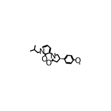 COc1ccc([C@H]2CC(=O)N(c3cccn(CC(C)C)c3=O)C2)cc1